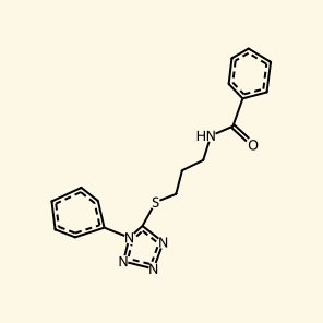 O=C(NCCCSc1nnnn1-c1ccccc1)c1ccccc1